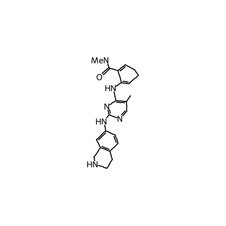 CNC(=O)C1=CCCC=C1Nc1nc(Nc2ccc3c(c2)CNCC3)ncc1C